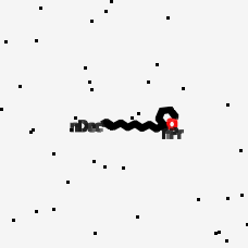 CCCCCCCCCCC=CCCCCCCC1(CCC)CCCCO1